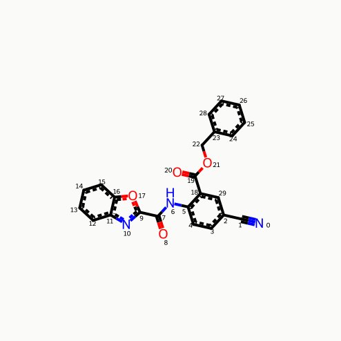 N#Cc1ccc(NC(=O)c2nc3ccccc3o2)c(C(=O)OCc2ccccc2)c1